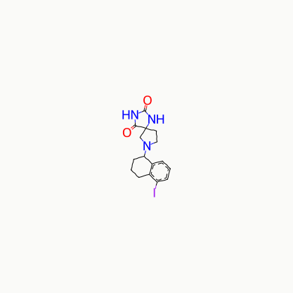 O=C1NC(=O)C2(CCN(C3CCCc4c(I)cccc43)C2)N1